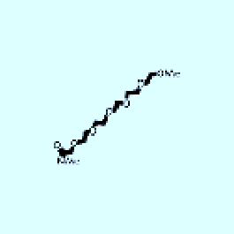 CNC(=O)COCCOCCOCCOCCOCCOC